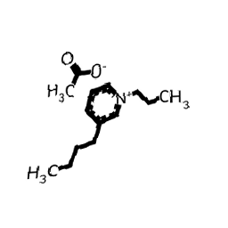 CC(=O)[O-].CCCCc1ccc[n+](CCC)c1